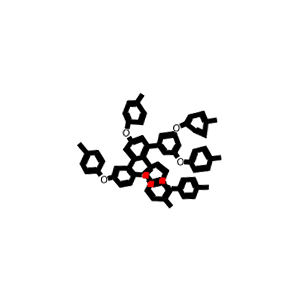 Cc1ccc(Oc2ccc(-c3c(-c4cc(Oc5ccc(C)cc5)cc(Oc5ccc(C)cc5)c4)cc(Oc4ccc(C)cc4)cc3-c3cc(Oc4ccc(C)cc4)ccc3Oc3ccc(C)cc3)cc2)cc1